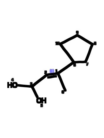 C/C(=C\C(O)O)C1CCCC1